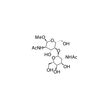 CO[C@H]1O[C@H](CO)[C@@H](O[C@@H]2O[C@H](CO)[C@H](O)[C@H](O)[C@H]2NC(C)=O)[C@H](O)[C@H]1NC(C)=O